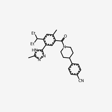 CCC(CC)c1cc(C)c(C(=O)N2CCC(c3ccc(C#N)cc3)CC2)cc1-c1nnc(C)[nH]1